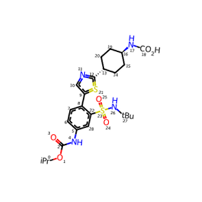 CC(C)OC(=O)Nc1ccc(-c2cnc([C@H]3CC[C@H](NC(=O)O)CC3)s2)c(S(=O)(=O)NC(C)(C)C)c1